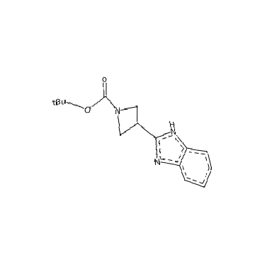 CC(C)(C)OC(=O)N1CC(c2nc3ccccc3[nH]2)C1